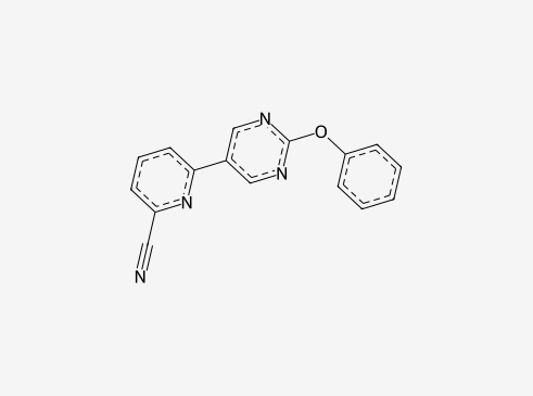 N#Cc1cccc(-c2cnc(Oc3ccccc3)nc2)n1